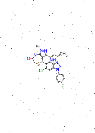 C=C/C=C(\N)c1nn(CC)c2c1C(c1cc3cnn(-c4ccc(F)cc4)c3cc1Cl)SCC(=O)N2